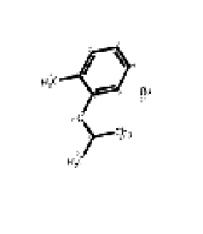 Cc1ccccc1OC(C)C.[Ru]